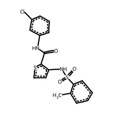 Cc1ccccc1S(=O)(=O)Nc1ccsc1C(=O)Nc1cccc(Cl)c1